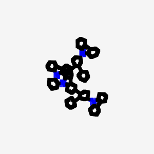 c1ccc(-c2cc(-n3c4ccccc4c4ccccc43)ccc2-c2ccc3c(c2)c2cc(-c4ccc(-n5c6ccccc6c6ccccc65)cc4-c4ccccc4)ccc2n3-c2ccccc2-n2c3ccccc3c3ccccc32)cc1